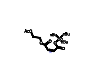 CCC[CH2][Sn]([CH2]CCC)([CH2]CCC)[O]C(=O)/C=C\C(=O)OCCOC(C)=O